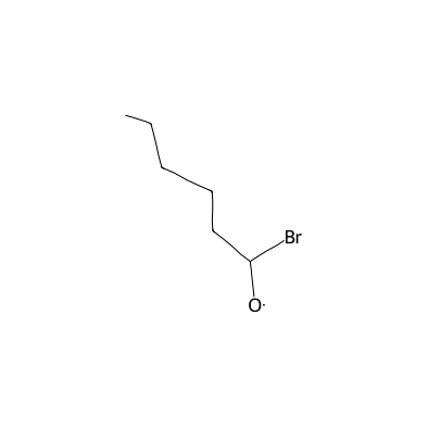 CCCCCC([O])Br